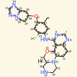 Cc1cc(Nc2ncnc3ccc4c(c23)OC[C@@H]2CNCCN42)c(F)cc1Oc1ccn2ncnc2c1